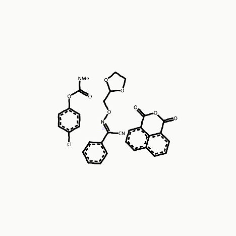 CNC(=O)Oc1ccc(Cl)cc1.N#C/C(=N\OCC1OCCO1)c1ccccc1.O=C1OC(=O)c2cccc3cccc1c23